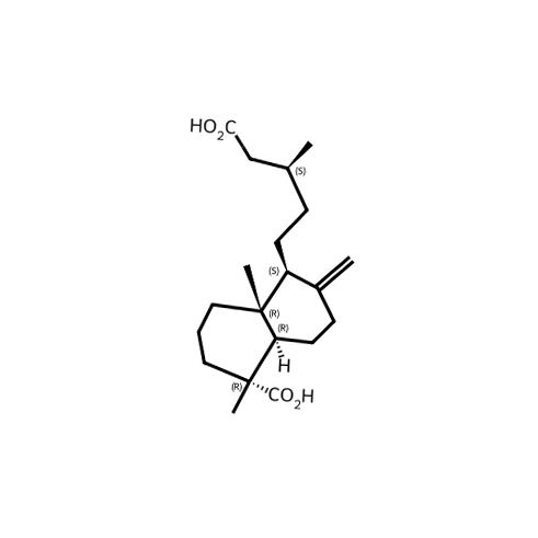 C=C1CC[C@@H]2[C@](C)(CCC[C@@]2(C)C(=O)O)[C@H]1CC[C@H](C)CC(=O)O